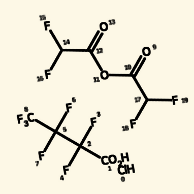 Cl.O=C(O)C(F)(F)C(F)(F)C(F)(F)F.O=C(OC(=O)C(F)F)C(F)F